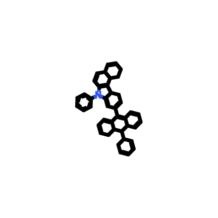 C1=CCC(C2C3C=CC=CC3=C(C3=CCC4C(=C3)N(c3ccccc3)C3=C4C4CCC=CC4C=C3)C3=CC=CCC32)C=C1